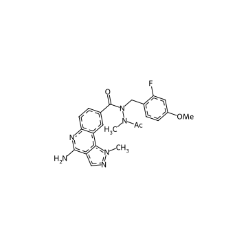 COc1ccc(CN(C(=O)c2ccc3nc(N)c4cnn(C)c4c3c2)N(C)C(C)=O)c(F)c1